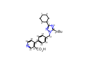 CCCCc1nc(C2CCCCC2)nn1Cc1ccc(-c2ccncc2C(=O)O)cc1